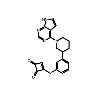 O=c1cc(Nc2cccc(C3CCCN(c4ncnc5[nH]ccc45)C3)c2)c1=O